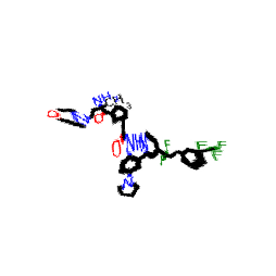 CC(N)(CCN1CCOCC1)C(=O)c1cccc(C(=O)Nc2ccc(N3CCCCC3)cc2-c2cc(C(F)(F)CCc3cccc(C(F)(F)F)c3)ccn2)c1